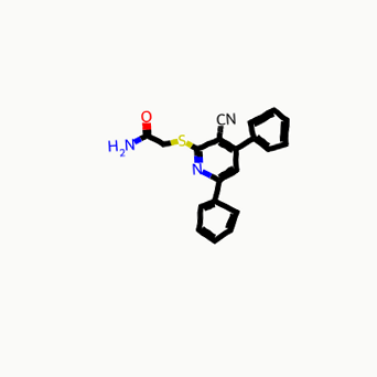 N#Cc1c(-c2ccccc2)cc(-c2ccccc2)nc1SCC(N)=O